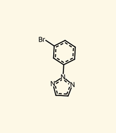 Brc1cccc(-n2nccn2)c1